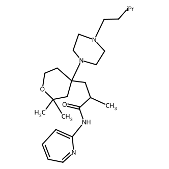 CC(C)CCN1CCN(C2(CC(C)C(=O)Nc3ccccn3)CCOC(C)(C)C2)CC1